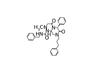 CN1CC(=O)N2[C@@H](c3ccccc3)C(=O)N(CCCc3ccccc3)C[C@@H]2N1C(=O)NCc1ccccc1